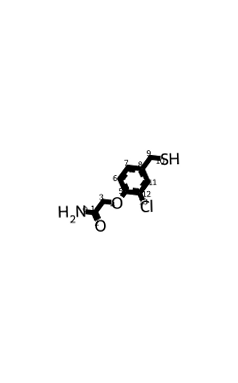 NC(=O)COc1ccc(CS)cc1Cl